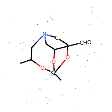 CC1CN2CCO[Si](C)(O1)OC(C=O)C2